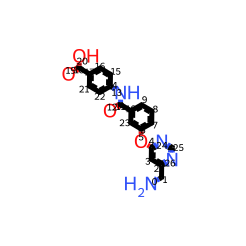 NCc1cc(Oc2cccc(C(=O)Nc3ccc(C(=O)O)cc3)c2)ncn1